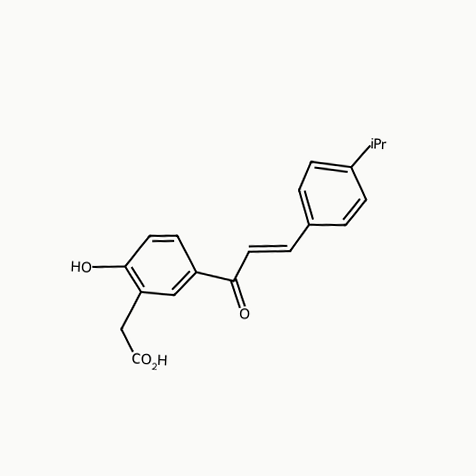 CC(C)c1ccc(C=CC(=O)c2ccc(O)c(CC(=O)O)c2)cc1